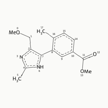 COCc1nc(C)[nH]c1-c1cc(C(=O)OC)ccc1C